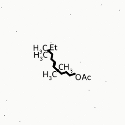 CCC(C)(C)CC/C=C/C(C)(C)CCCCOC(C)=O